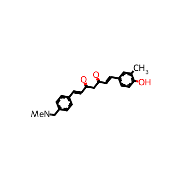 CNCc1ccc(/C=C/C(=O)CC(=O)/C=C/c2ccc(O)c(C)c2)cc1